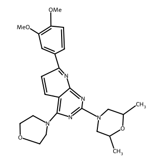 COc1ccc(-c2ccc3c(N4CCOCC4)nc(N4CC(C)OC(C)C4)nc3n2)cc1OC